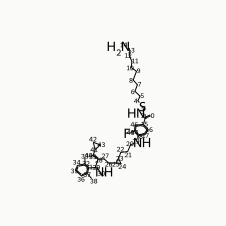 C=C(NSCCCCCCCCCCN)c1ccc(NCCCC2CC2CC/C(C(=N)c2c(C)cccc2C)=C(/C)C2CC2)c(F)c1